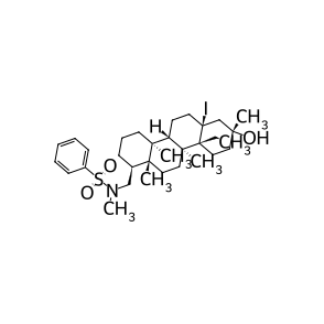 CC[C@]12CC[C@@](C)(O)C[C@@]1(I)CC[C@@H]1[C@]2(C)CC[C@]2(C)[C@@H](CN(C)S(=O)(=O)c3ccccc3)CCC[C@@]12C